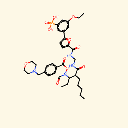 CCCCCC(C(=O)NCNC(=O)c1ccc(-c2cc(OCC)cc(P(=O)(O)O)c2)o1)C(CC)N(C=O)OC(=O)c1ccc(CN2CCOCC2)cc1